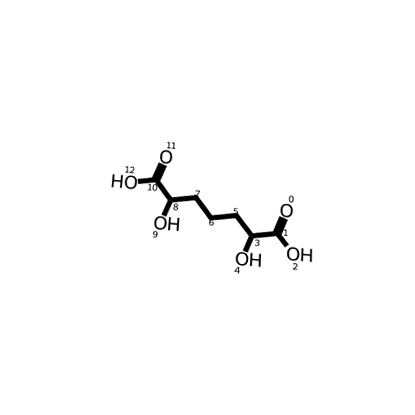 O=C(O)C(O)CCCC(O)C(=O)O